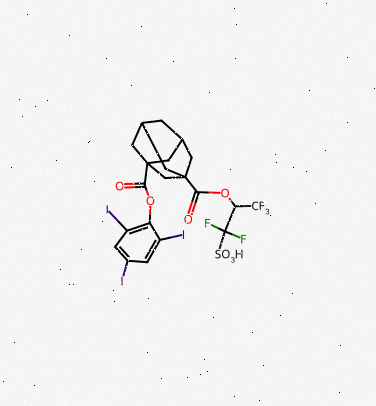 O=C(Oc1c(I)cc(I)cc1I)C12CC3CC(C1)CC(C(=O)OC(C(F)(F)F)C(F)(F)S(=O)(=O)O)(C3)C2